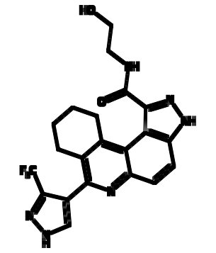 O=C(NCCO)c1n[nH]c2ccc3nc(-c4c[nH]nc4C(F)(F)F)c4c(c3c12)CCCC4